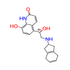 O=c1ccc2c([C@@H](O)CNC3CC4=C(CC=CC4)C3)ccc(O)c2[nH]1